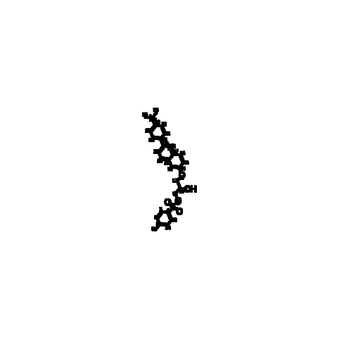 Cc1ccc(S(=O)(=O)OC[C@@H](O)COc2ccc3nc(-c4ccc(N(C)C)cc4)ccc3c2)cc1